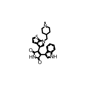 CN1CCC(Cn2cc(C3=C(c4c[nH]c5ccccc45)C(=O)NC3=O)c3ccsc32)CC1